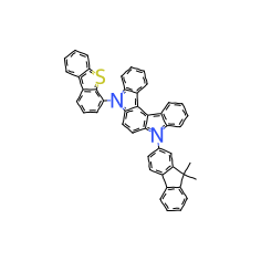 CC1(C)c2ccccc2-c2ccc(-n3c4ccccc4c4c5c6ccccc6n(-c6cccc7c6sc6ccccc67)c5ccc43)cc21